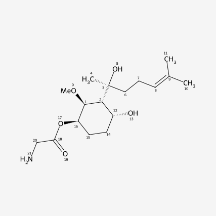 CO[C@H]1[C@H]([C@@](C)(O)CCC=C(C)C)[C@H](O)CC[C@H]1OC(=O)CN